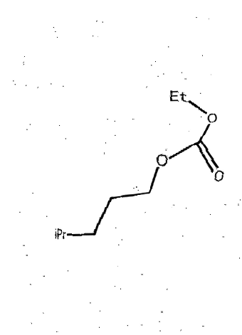 CCOC(=O)OCCCC(C)C